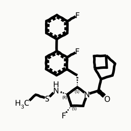 CCSN[C@H]1[C@@H](F)CN(C(=O)C2CCC3CC2C3)[C@H]1Cc1cccc(-c2cccc(F)c2)c1F